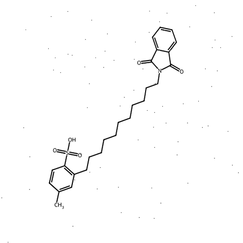 Cc1ccc(S(=O)(=O)O)c(CCCCCCCCCCCN2C(=O)c3ccccc3C2=O)c1